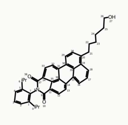 CC(C)c1cccc(C(C)C)c1N1C(=O)c2ccc3c4cccc5c(CCCCCCO)ccc(c6ccc(c2c36)C1=O)c54